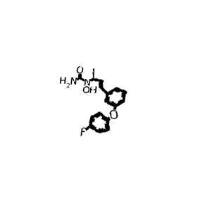 C[C@@H](C=Cc1cccc(Oc2ccc(F)cc2)c1)N(O)C(N)=O